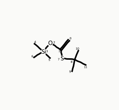 C=C(O[Si](C)(C)C)SC(C)(C)C